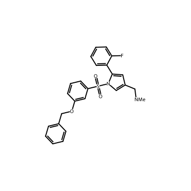 CNCc1cc(-c2ccccc2F)n(S(=O)(=O)c2cccc(OCc3ccccc3)c2)c1